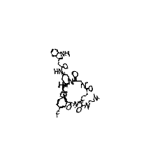 CN(C)CCN(C)C(=O)[C@@H]1CCC(=O)N(C)CC(=O)N2C[C@@H](NC(=O)Cc3c[nH]c4ccccc34)C[C@H]2COc2ccc(F)cc2C(=O)N1C